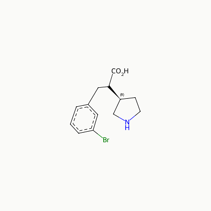 O=C(O)C(Cc1cccc(Br)c1)[C@H]1CCNC1